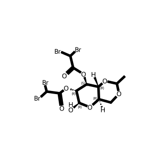 CC1OC[C@H]2O[C@@H](O)[C@H](OC(=O)C(Br)Br)[C@@H](OC(=O)C(Br)Br)[C@@H]2O1